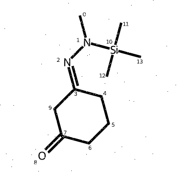 CN(N=C1CCCC(=O)C1)[Si](C)(C)C